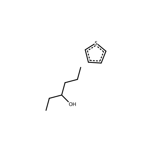 CCCC(O)CC.c1ccsc1